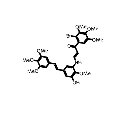 COc1cc(C=Cc2cc(O)c(OC)c(NC=CC(=O)c3cc(OC)c(OC)c(OC)c3Br)c2)cc(OC)c1OC